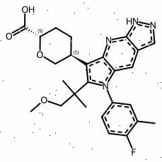 COCC(C)(C)c1c([C@@H]2CC[C@@H](C(=O)O)OC2)c2nc3[nH]ncc3cc2n1-c1ccc(F)c(C)c1